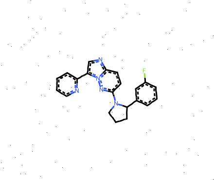 Fc1cccc(C2CCCN2c2ccc3ncc(-c4ccccn4)n3n2)c1